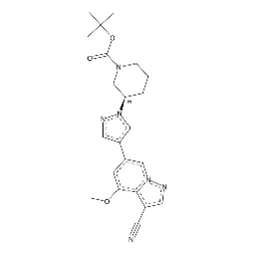 COc1cc(-c2cnn([C@@H]3CCCN(C(=O)OC(C)(C)C)C3)c2)cn2ncc(C#N)c12